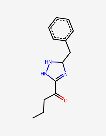 CCCC(=O)C1=NC(Cc2ccccc2)NN1